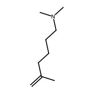 C=C(C)CCCCN(C)C